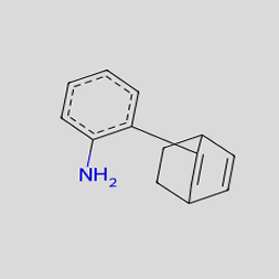 Nc1ccccc1C1=CC2C=CC1CC2